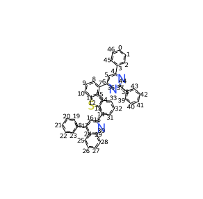 c1ccc(-c2cc(-c3cccc4sc5c(-c6cc(-c7ccccc7)c7ccccc7n6)cccc5c34)nc(-c3ccccc3)n2)cc1